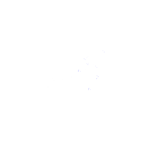 N#Cc1cnn2c(NCc3ccc(-c4ccccc4)cc3)cc(N[C@H]3CCNC3)nc12